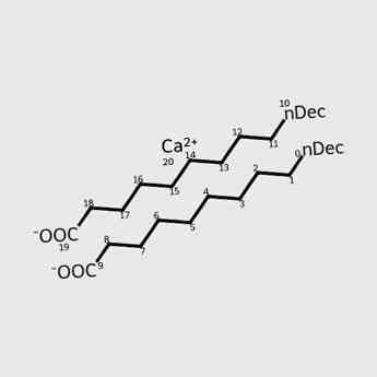 CCCCCCCCCCCCCCCCCCC(=O)[O-].CCCCCCCCCCCCCCCCCCC(=O)[O-].[Ca+2]